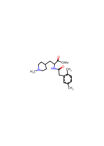 COC(=O)C(CC1CCN(C)CC1)NC(=O)Cc1cc(C)ccc1C